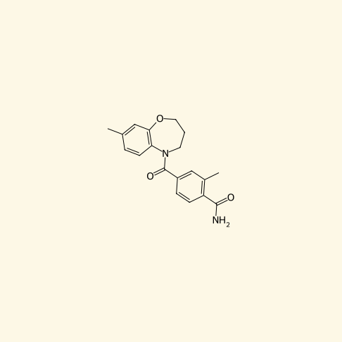 Cc1ccc2c(c1)OCCCN2C(=O)c1ccc(C(N)=O)c(C)c1